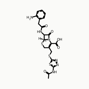 CC(=O)Nc1nnc(SCC2=C(C(=O)O)N3C(=O)C(NC(=O)Cc4ccccc4N)[C@H]3SC2)s1